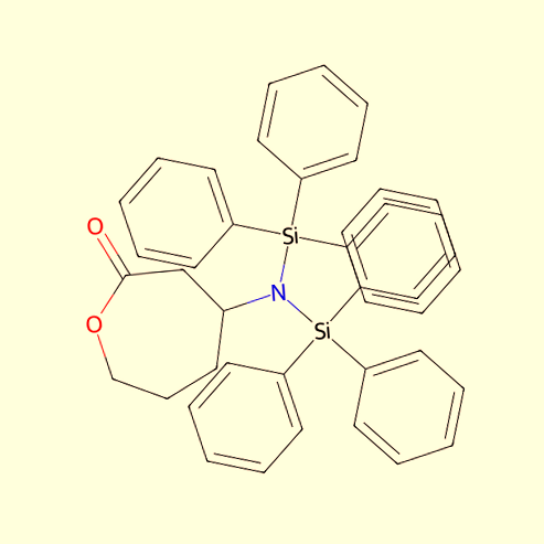 O=C1CC(N([Si](c2ccccc2)(c2ccccc2)c2ccccc2)[Si](c2ccccc2)(c2ccccc2)c2ccccc2)CCCO1